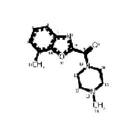 Cc1cccc2nc(C(=O)N3CCN(C)CC3)oc12